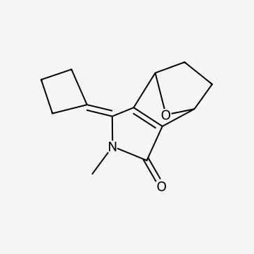 CN1C(=O)C2=C(C1=C1CCC1)C1CCC2O1